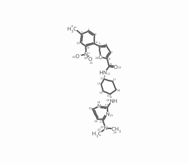 Cc1ccc(-c2ccc(C(=O)N[C@H]3CC[C@@H](Nc4nccc(N(C)C)n4)CC3)o2)c([N+](=O)[O-])c1